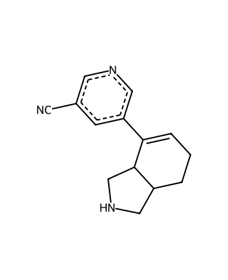 N#Cc1cncc(C2=CCCC3CNCC23)c1